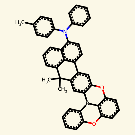 Cc1ccc(N(c2ccccc2)c2ccc3c4c(cccc24)C(C)(C)c2cc4c(cc2-3)Oc2cccc3c2B4c2ccccc2O3)cc1